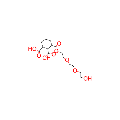 O=C(O)C1CCCC(C(=O)OCCOCCOCCO)C1C(=O)O